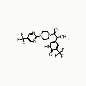 CC(C(=O)N1CCN(c2ncc(C(F)(F)F)cn2)CC1)c1c[nH]c(=O)c(C(F)(F)F)c1